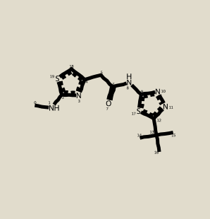 CNc1nc(CC(=O)Nc2nnc(C(C)(C)C)s2)cs1